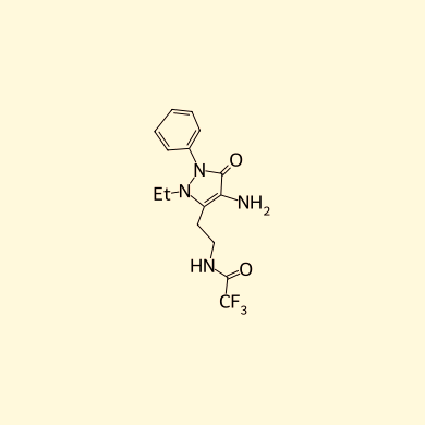 CCn1c(CCNC(=O)C(F)(F)F)c(N)c(=O)n1-c1ccccc1